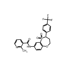 Cc1ncccc1C(=O)Nc1ccc2c(c1)S(=O)(=O)N(c1ccc(C(F)(F)F)cc1)CCO2